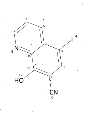 N#Cc1cc(I)c2cccnc2c1O